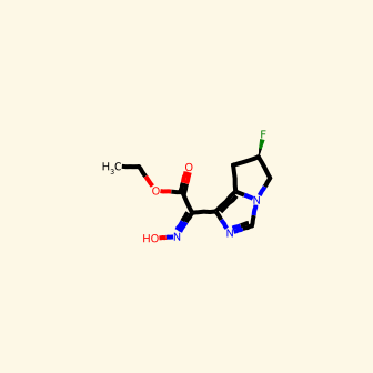 CCOC(=O)C(=NO)c1ncn2c1C[C@@H](F)C2